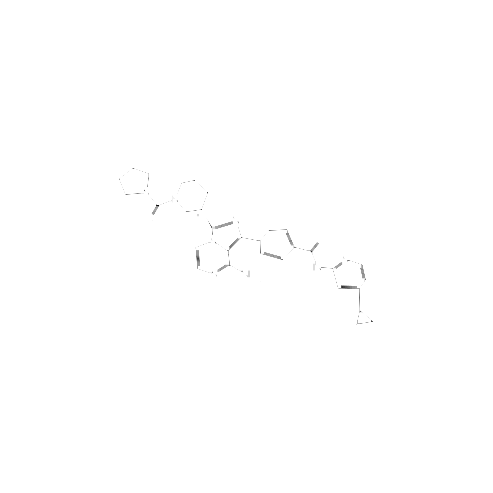 Nc1nccn2c([C@@H]3CCCN(C(=O)N4CCCC4)C3)nc(C3C=CC(C(=O)Nc4cc(C5CC5)ccn4)=CC3)c12